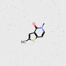 Cn1ccc2sc(C#N)cc2c1=O